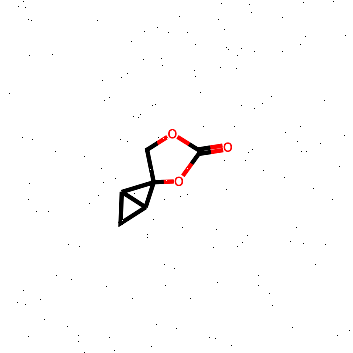 O=C1OCC2(O1)C1CC12